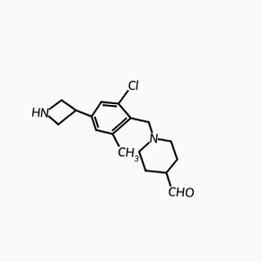 Cc1cc(C2CNC2)cc(Cl)c1CN1CCC(C=O)CC1